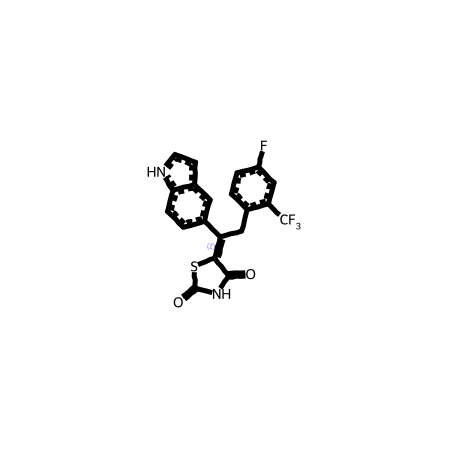 O=C1NC(=O)/C(=C(\Cc2ccc(F)cc2C(F)(F)F)c2ccc3[nH]ccc3c2)S1